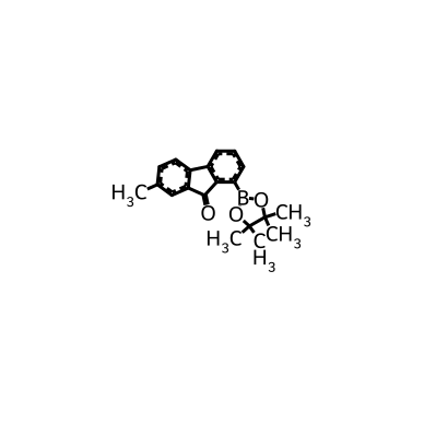 Cc1ccc2c(c1)C(=O)c1c(B3OC(C)(C)C(C)(C)O3)cccc1-2